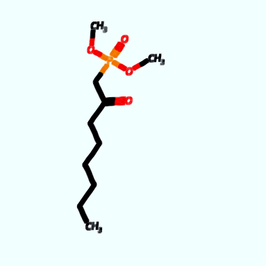 CCCCCCC(=O)CP(=O)(OC)OC